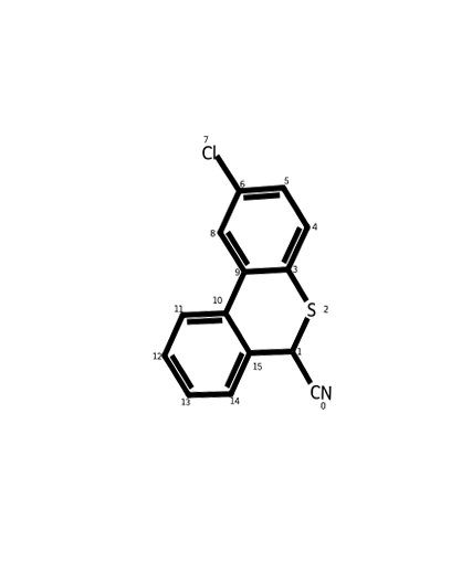 N#CC1Sc2ccc(Cl)cc2-c2ccccc21